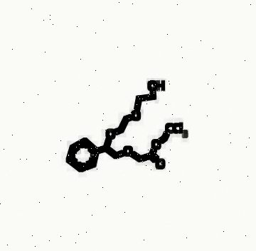 O=C(COCC(OCCOCCO)c1ccccc1)OCC(Cl)(Cl)Cl